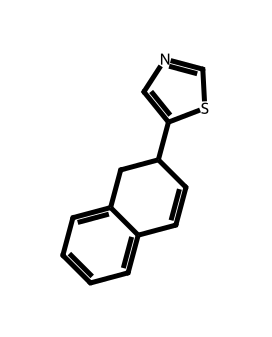 C1=CC(c2cncs2)Cc2ccccc21